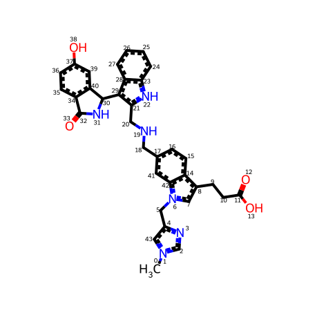 Cn1cnc(Cn2cc(CCC(=O)O)c3ccc(CNCc4[nH]c5ccccc5c4C4NC(=O)c5ccc(O)cc54)cc32)c1